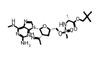 CNc1nc(N)nc2c1ncn2[C@@H]1O[C@H](COP(C)(=O)N[C@H](C)C(=O)OCC(C)(C)C)C[C@@H]1C(C)=N